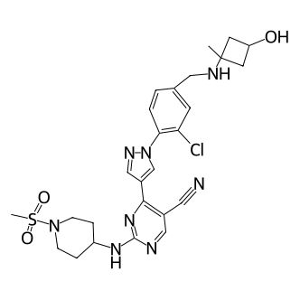 CC1(NCc2ccc(-n3cc(-c4nc(NC5CCN(S(C)(=O)=O)CC5)ncc4C#N)cn3)c(Cl)c2)CC(O)C1